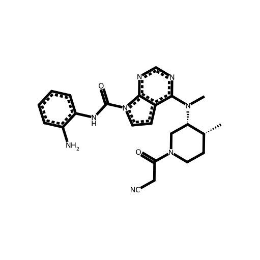 C[C@@H]1CCN(C(=O)CC#N)C[C@@H]1N(C)c1ncnc2c1ccn2C(=O)Nc1ccccc1N